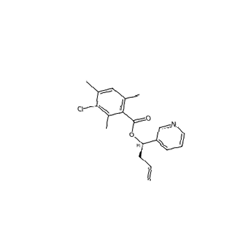 C=CC[C@@H](OC(=O)c1c(C)cc(C)c(Cl)c1C)c1cccnc1